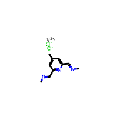 CN=Cc1cc(C)cc(C=NC)n1.[Cl-].[Cl-].[V+2]